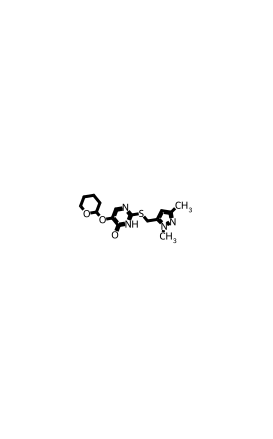 Cc1cc(CSc2ncc(OC3CCCCO3)c(=O)[nH]2)n(C)n1